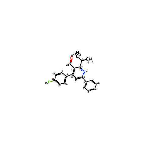 CC(C)c1nc(-c2ccccc2)cc(-c2ccc(F)cc2)c1C=O